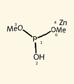 COP(O)OC.[Zn]